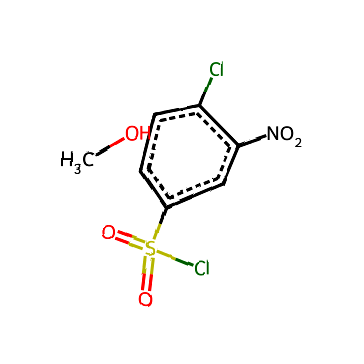 CO.O=[N+]([O-])c1cc(S(=O)(=O)Cl)ccc1Cl